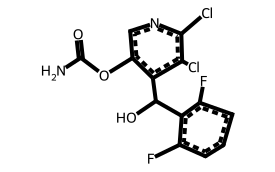 NC(=O)Oc1cnc(Cl)c(Cl)c1C(O)c1c(F)cccc1F